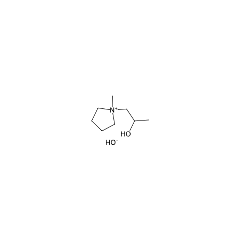 CC(O)C[N+]1(C)CCCC1.[OH-]